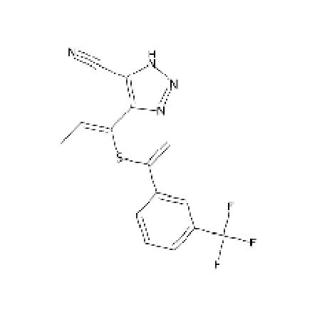 C=C(S/C(=C\C)c1nn[nH]c1C#N)c1cccc(C(F)(F)F)c1